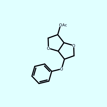 CC(=O)OC1COC2C(Oc3ccccc3)COC12